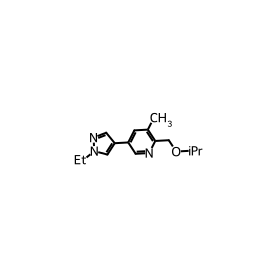 CCn1cc(-c2cnc(COC(C)C)c(C)c2)cn1